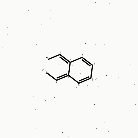 C/C=c1/cccc/c1=C/I